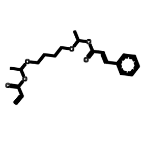 C=CC(=O)OC(C)OCCCCOC(C)OC(=O)/C=C/c1ccccc1